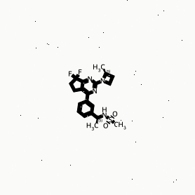 C[C@H](NS(C)(=O)=O)c1cccc(-c2nc(N3CC[C@@H]3C)nc3c2CCC3(F)F)c1